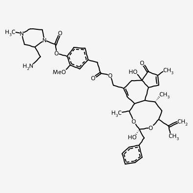 C=C(C)C1C[C@@H](C)C2C(C=C(COC(=O)Cc3ccc(OC(=O)N4CCN(C)CC4CN)c(OC)c3)CC3(O)C(=O)C(C)=CC23)C(C)O[C@](O)(Cc2ccccc2)O1